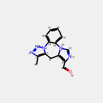 Cc1nnn2c1Cc1c(C=O)ncn1-c1ccccc1-2